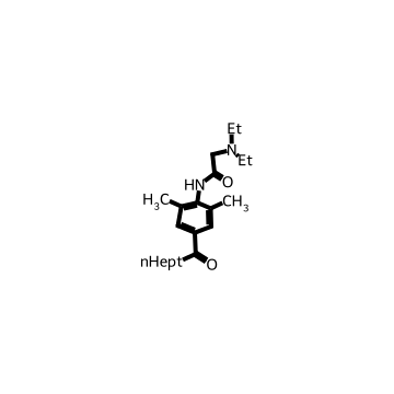 CCCCCCCC(=O)c1cc(C)c(NC(=O)CN(CC)CC)c(C)c1